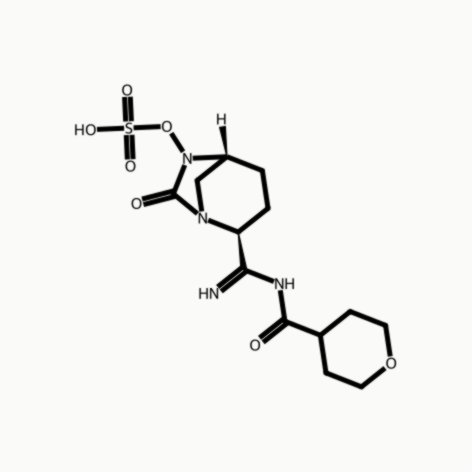 N=C(NC(=O)C1CCOCC1)[C@@H]1CC[C@@H]2CN1C(=O)N2OS(=O)(=O)O